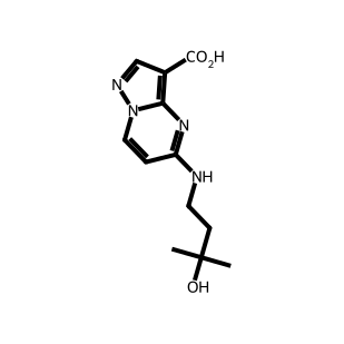 CC(C)(O)CCNc1ccn2ncc(C(=O)O)c2n1